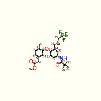 COC(=O)Cc1ccc(C)c(Oc2ccc(NC(=O)C(C)(C)C)cc2CSCC(F)(F)F)c1